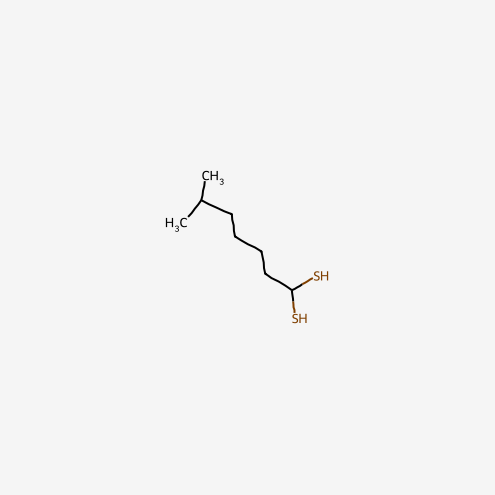 CC(C)CCCCC(S)S